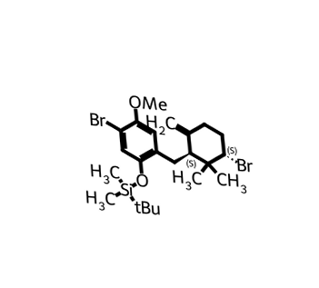 C=C1CC[C@H](Br)C(C)(C)[C@H]1Cc1cc(OC)c(Br)cc1O[Si](C)(C)C(C)(C)C